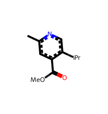 COC(=O)c1cc(C)ncc1C(C)C